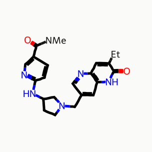 CCc1cc2ncc(CN3CCC(Nc4ccc(C(=O)NC)cn4)C3)cc2[nH]c1=O